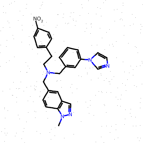 Cn1ncc2cc(CN(CCc3ccc([N+](=O)[O-])cc3)Cc3cccc(-n4ccnc4)c3)ccc21